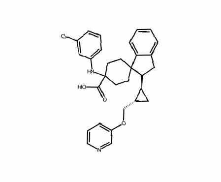 O=C(O)C1(Nc2cccc(Cl)c2)CCC2(CC1)c1ccccc1CC2[C@H]1C[C@@H]1COc1cccnc1